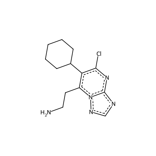 NCCc1c(C2CCCCC2)c(Cl)nc2ncnn12